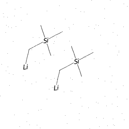 [Li][CH2][Si](C)(C)C.[Li][CH2][Si](C)(C)C